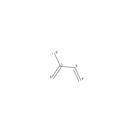 [CH2]C(=C)[C]=C